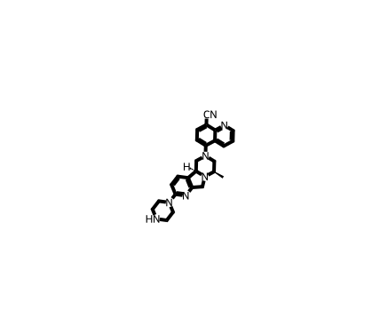 C[C@@H]1CN(c2ccc(C#N)c3ncccc23)C[C@@H]2c3ccc(N4CCNCC4)nc3CN12